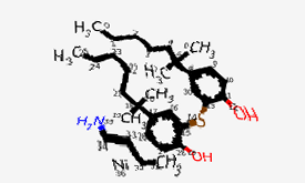 CCCCCC(C)(C)c1ccc(O)c(Sc2cc(C(C)(C)CCCCC)ccc2O)c1.CCCCN.[Ni]